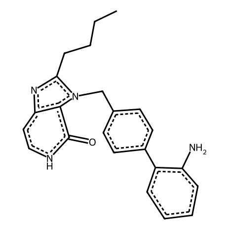 CCCCc1nc2cc[nH]c(=O)c2n1Cc1ccc(-c2ccccc2N)cc1